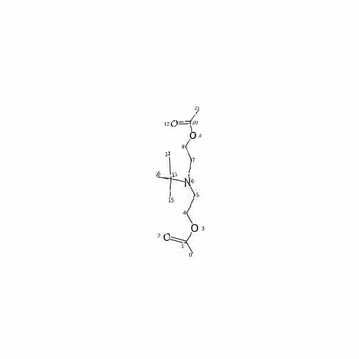 CC(=O)OCCN(CCOC(C)=O)C(C)(C)C